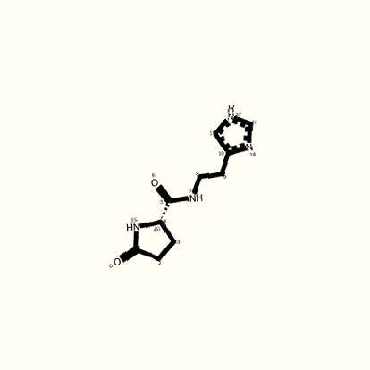 O=C1CC[C@@H](C(=O)NCCc2c[nH]cn2)N1